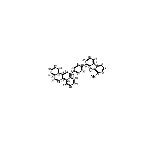 N#Cc1cccc2c1oc1c(-c3ccc(-c4cc5c6ccccc6ccc5c5ccccc45)cc3)cccc12